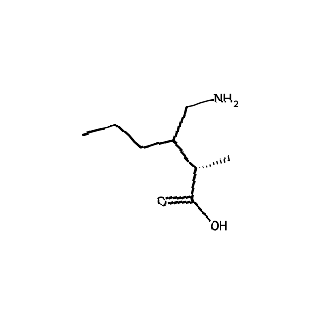 CCCC(CN)[C@H](C)C(=O)O